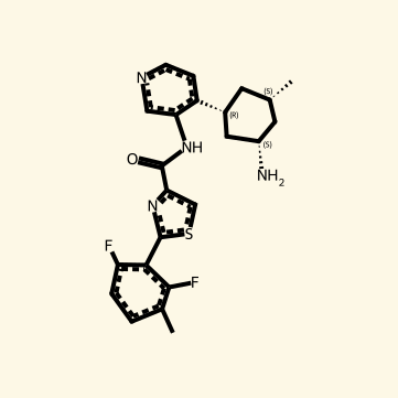 Cc1ccc(F)c(-c2nc(C(=O)Nc3cnccc3[C@@H]3C[C@H](C)C[C@H](N)C3)cs2)c1F